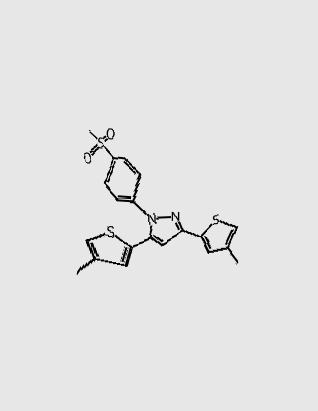 Cc1csc(-c2cc(-c3cc(C)cs3)n(-c3ccc(S(C)(=O)=O)cc3)n2)c1